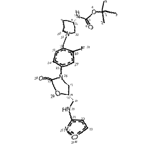 CC(C)(C)OC(=O)N[C@H]1CCN(c2ccc(N3C[C@H](CNc4ccon4)OC3=O)cc2F)C1